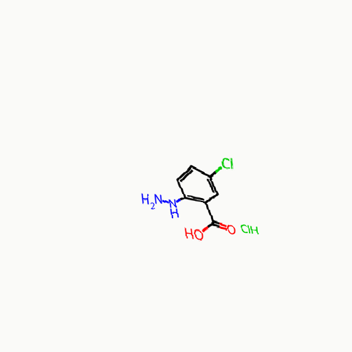 Cl.NNc1ccc(Cl)cc1C(=O)O